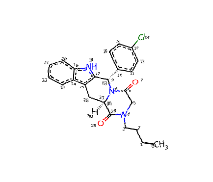 CCCCN1CC(=O)N2[C@@H](c3ccc(Cl)cc3)c3[nH]c4ccccc4c3C[C@@H]2C1=O